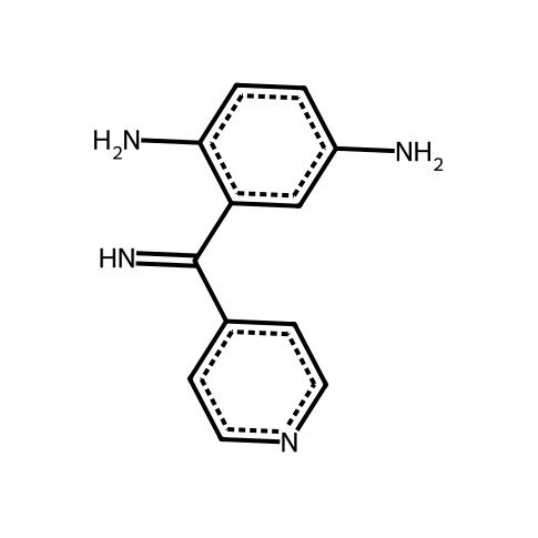 N=C(c1ccncc1)c1cc(N)ccc1N